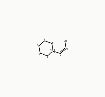 C/C=C\N1CCCCC1